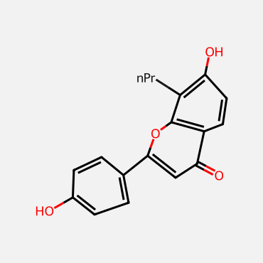 CCCc1c(O)ccc2c(=O)cc(-c3ccc(O)cc3)oc12